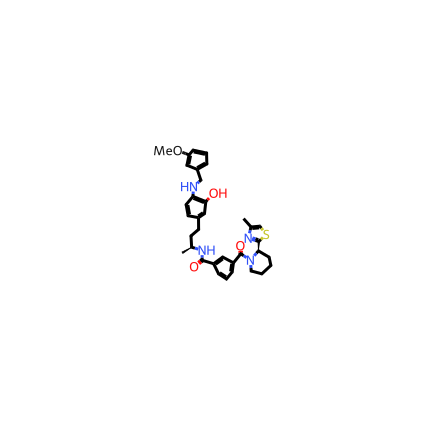 COc1cccc(CNc2ccc(CC[C@H](C)NC(=O)c3cccc(C(=O)N4CCCC[C@@H]4c4nc(C)cs4)c3)cc2O)c1